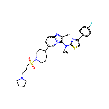 CCc1nc2ccc(C3CCCN(S(=O)(=O)CCCN4CCCC4)CC3)cn2c1N(C)c1nc(-c2ccc(F)cc2)cs1